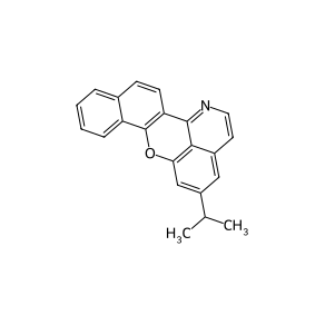 CC(C)c1cc2c3c(nccc3c1)-c1ccc3ccccc3c1O2